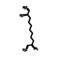 C=CC(=C)CCCCCCCC(=C)C=C